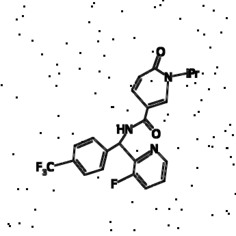 CC(C)n1cc(C(=O)NC(c2ccc(C(F)(F)F)cc2)c2ncccc2F)ccc1=O